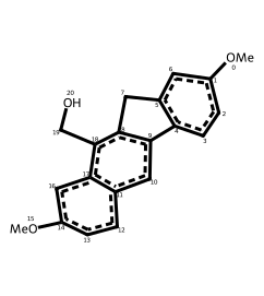 COc1ccc2c(c1)Cc1c-2cc2ccc(OC)cc2c1CO